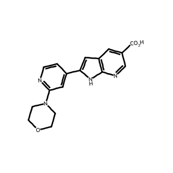 O=C(O)c1cnc2[nH]c(-c3ccnc(N4CCOCC4)c3)cc2c1